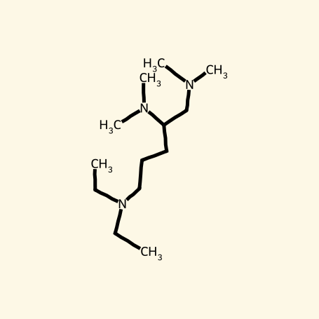 CCN(CC)CCCC(CN(C)C)N(C)C